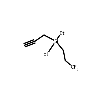 C#CC[Si](CC)(CC)CCC(F)(F)F